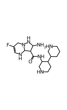 NC1NN2CC(F)=CNC2C1C(=O)NC1CNCCC1C1CCCNC1